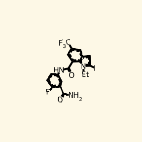 CCn1c(I)cc2cc(C(F)(F)F)cc(C(=O)Nc3ccc(F)c(C(N)=O)c3)c21